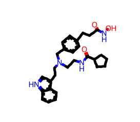 O=C(CCc1ccc(CN(CCNC(=O)C2CCCC2)CCc2c[nH]c3ccccc23)cc1)NO